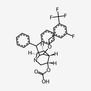 O=C(O)O[C@@H]1CN2CC[C@H]1[C@H](OCc1cc(F)cc(C(F)(F)F)c1)[C@@H]2C(c1ccccc1)c1ccccc1